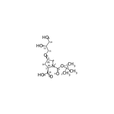 CC(C)(C)OC(=O)N1C[C@H](OCC(O)CO)C[C@@H]1C(=O)O